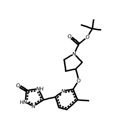 Cc1ccc(-c2n[nH]c(=O)[nH]2)nc1OC1CCN(C(=O)OC(C)(C)C)C1